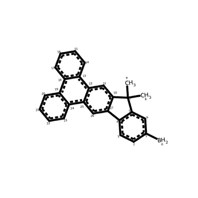 Bc1ccc2c(c1)C(C)(C)c1cc3c4ccccc4c4ccccc4c3cc1-2